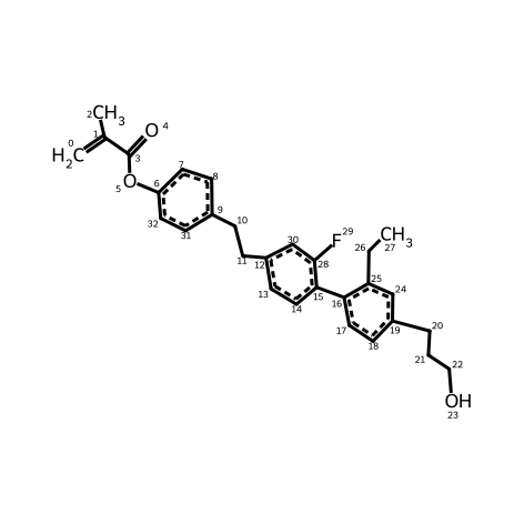 C=C(C)C(=O)Oc1ccc(CCc2ccc(-c3ccc(CCCO)cc3CC)c(F)c2)cc1